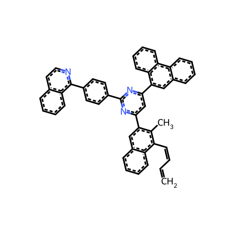 C=C/C=C\c1c(C)c(-c2cc(-c3cc4ccccc4c4ccccc34)nc(-c3ccc(-c4nccc5ccccc45)cc3)n2)cc2ccccc12